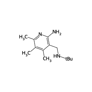 Cc1nc(N)c(CNC(C)(C)C)c(C)c1C